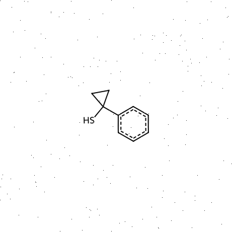 SC1(c2ccccc2)CC1